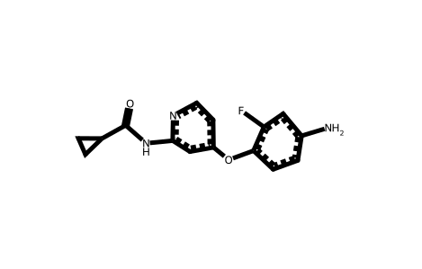 Nc1ccc(Oc2ccnc(NC(=O)C3CC3)c2)c(F)c1